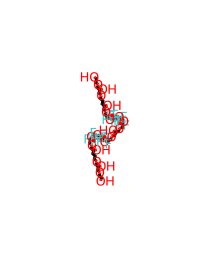 OCCOCC(O)COCCCC(O)COCC(F)(F)OC(F)(F)OC(F)(F)C(F)(F)OC(F)(F)COCC(O)COCC(F)(F)OC(F)(F)OC(F)(F)C(F)(F)OC(F)(F)COCC(O)CCCOCC(O)COCCO